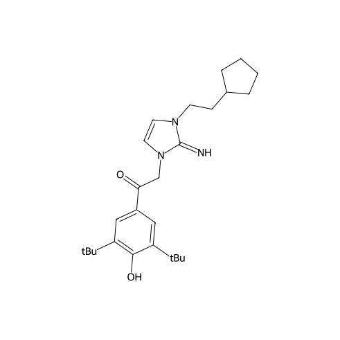 CC(C)(C)c1cc(C(=O)Cn2ccn(CCC3CCCC3)c2=N)cc(C(C)(C)C)c1O